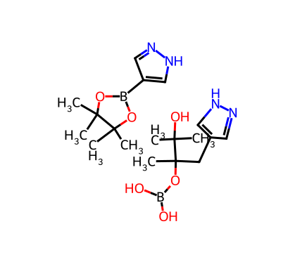 CC(C)(O)C(C)(Cc1cn[nH]c1)OB(O)O.CC1(C)OB(c2cn[nH]c2)OC1(C)C